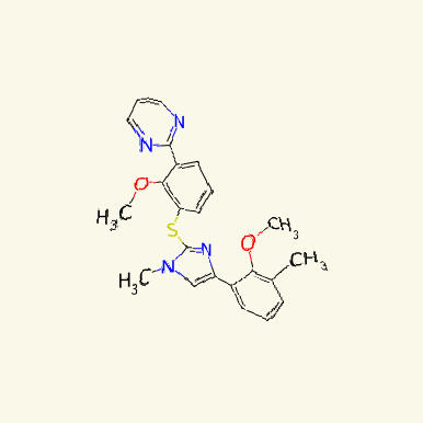 COc1c(C)cccc1-c1cn(C)c(Sc2cccc(-c3ncccn3)c2OC)n1